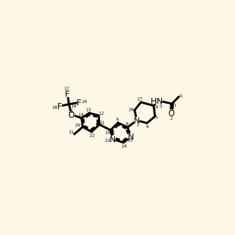 CC(=O)NC1CCN(c2cc(-c3ccc(OC(F)(F)F)c(C)c3)ncn2)CC1